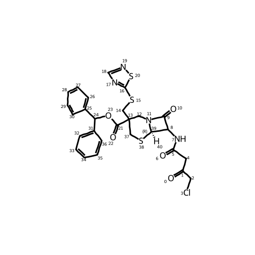 O=C(CCl)CC(=O)NC1C(=O)N2CC(CSc3ncns3)(C(=O)OC(c3ccccc3)c3ccccc3)CS[C@H]12